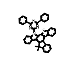 CC1(C)c2ccccc2-c2c1c1c3ccccc3n(-c3nc(-c4ccccc4)nc(-c4ccccc4)n3)c1c1sc3ccccc3c21